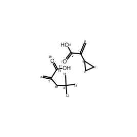 C=C(C(=O)O)C1CC1.C=C(CC(C)(C)C)C(=O)O